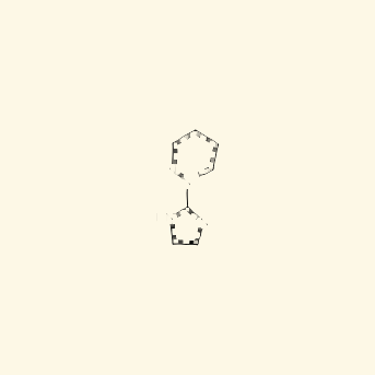 c1cc[n+](-c2ncc[nH]2)nc1